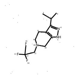 CC(C)c1n[nH]c2c1CCN(CC(F)(F)F)C2